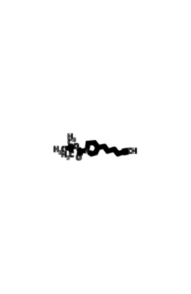 C#CCCCCC1CCN(C(=O)OC(C)(C)C)CC1